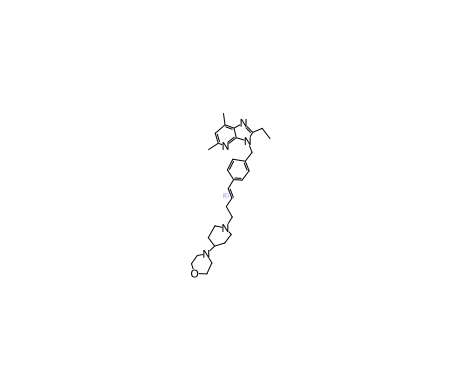 CCc1nc2c(C)cc(C)nc2n1Cc1ccc(/C=C/CCN2CCC(N3CCOCC3)CC2)cc1